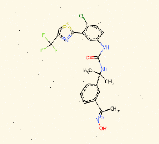 C/C(=N\O)c1cccc(C(C)(C)NC(=O)Nc2ccc(Cl)c(-c3nc(C(F)(F)F)cs3)c2)c1